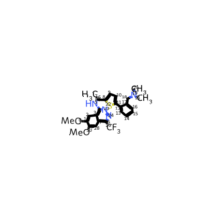 COc1cc2c(N[C@H](C)c3ccc(-c4ccccc4CN(C)C)s3)nnc(C(F)(F)F)c2cc1OC